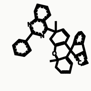 CC12CC=CC=C1C1(C3=C(CC(C)(c4nc(-c5ccccc5)nc5ccccc45)C=C3)O2)c2ccccc2-c2ccccc21